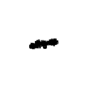 O=c1cc(-c2ccnc(NC3CCOCC3)n2)ccn1CCc1ccc(C(F)(F)F)cc1